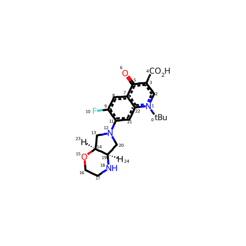 CC(C)(C)n1cc(C(=O)O)c(=O)c2cc(F)c(N3C[C@@H]4OCCN[C@@H]4C3)cc21